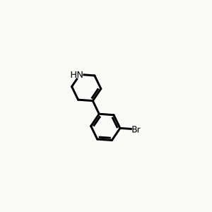 Brc1cccc(C2=CCNCC2)c1